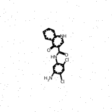 Nc1cc(NC(=O)c2c[nH]c3ccccc3c2=O)c(Cl)cc1Cl